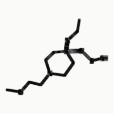 CCN=S1(=NSS)CCN(CCOC)CC1